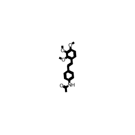 COc1ccc(C=Cc2ccc(NC(C)=O)cc2)c(OC)c1OC